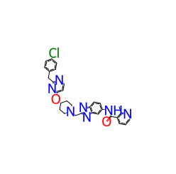 Cc1ncccc1C(=O)Nc1ccc2c(c1)nc(CN1CCC(Oc3ccnc(Cc4ccc(Cl)cc4)n3)CC1)n2C